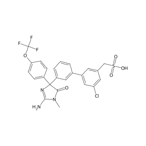 CN1C(=O)C(c2ccc(OC(F)(F)F)cc2)(c2cccc(-c3cc(Cl)cc(CS(=O)(=O)O)c3)c2)N=C1N